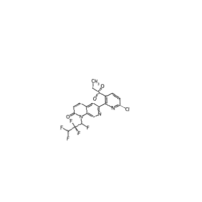 CCS(=O)(=O)c1ccc(Cl)nc1-c1cc2ccc(=O)n(C(F)C(F)(F)C(F)F)c2cn1